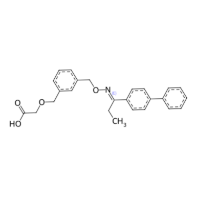 CC/C(=N\OCc1cccc(COCC(=O)O)c1)c1ccc(-c2ccccc2)cc1